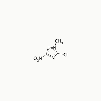 Cn1cc([N+](=O)[O-])nc1Cl